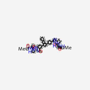 CCC(C)[C@H](NC(=O)OC)C(=O)N1CCC[C@H]1c1nc(=O)c2cc(-c3ccc(-c4ccc(-c5cnc([C@@H]6CCCN6C(=O)[C@@H](NC(=O)OC)C(C)C)[nH]5)cc4)c4c3CC3(CCCCC3)C4)ccc2[nH]1